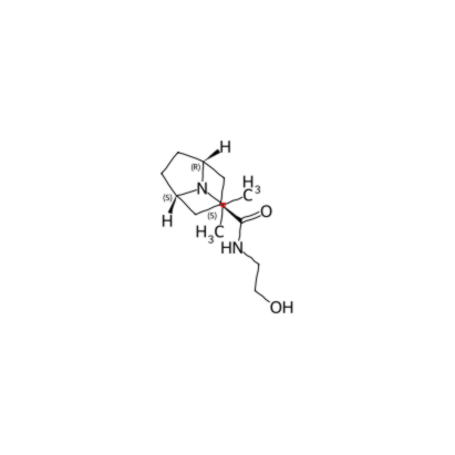 CC(C)N1[C@@H]2CC[C@H]1C[C@H](C(=O)NCCO)C2